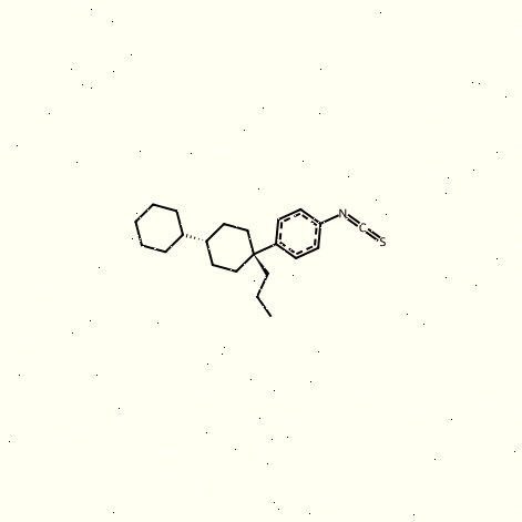 CCC[C@]1(c2ccc(N=C=S)cc2)CC[C@@H](C2CCCCC2)CC1